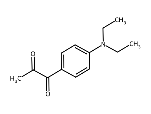 CCN(CC)c1ccc(C(=O)C(C)=O)cc1